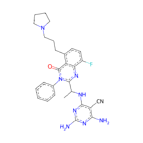 CC(Nc1nc(N)nc(N)c1C#N)c1nc2c(F)ccc(CCCN3CCCC3)c2c(=O)n1-c1ccccc1